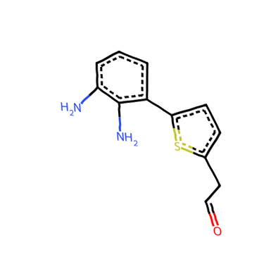 Nc1cccc(-c2ccc(CC=O)s2)c1N